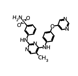 Cc1cnc(Nc2cccc(S(N)(=O)=O)c2)nc1Nc1ccc(Oc2cncnc2)cc1